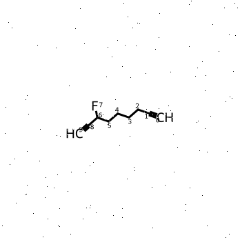 C#CCCCCC(F)C#C